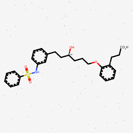 O=C(O)CCc1ccccc1OCCC[C@H](O)CCc1cccc(NS(=O)(=O)c2ccccc2)c1